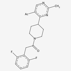 CC(=O)c1cnc(C)nc1C1CCN(C(=O)Cc2c(F)cccc2F)CC1